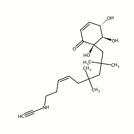 C#CNCC/C=C\CC(C)(C)CC(C)(C)C[C@]1(O)C(=O)C=C[C@H](O)[C@H]1O